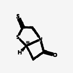 O=C1C[C@@H]2SC(=S)CN12